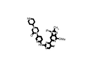 COc1nc(-c2nc(Nc3ccc(N4CCN(C5CCNCC5)CC4=O)cn3)ncc2F)cc2c1nc(C)n2C(C)C